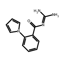 NC(N)=NC(=O)c1ccccc1-n1cccc1